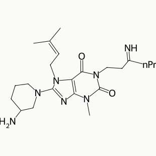 CCCC(=N)CCn1c(=O)c2c(nc(N3CCCC(N)C3)n2CC=C(C)C)n(C)c1=O